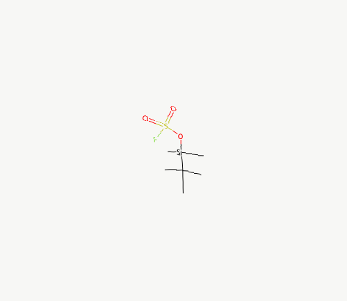 CC(C)(C)[Si](C)(C)OS(=O)(=O)F